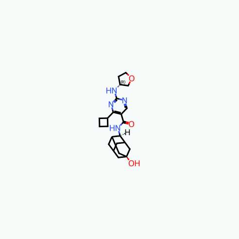 O=C(N[C@H]1C2CC3CC1C[C@@](O)(C3)C2)c1cnc(N[C@@H]2CCOC2)nc1C1CCC1